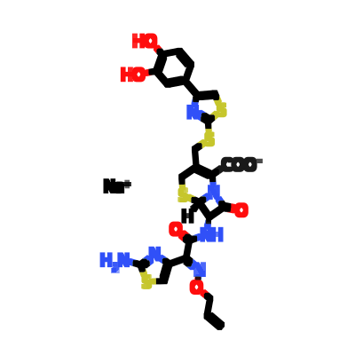 C=CCON=C(C(=O)N[C@@H]1C(=O)N2C(C(=O)[O-])=C(CSc3nc(-c4ccc(O)c(O)c4)cs3)CS[C@@H]12)c1csc(N)n1.[Na+]